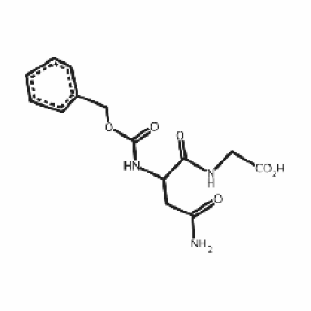 NC(=O)CC(NC(=O)OCc1ccccc1)C(=O)NCC(=O)O